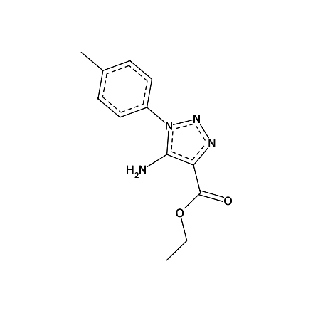 CCOC(=O)c1nnn(-c2ccc(C)cc2)c1N